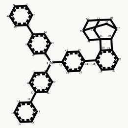 c1ccc(-c2ccc(N(c3ccc(-c4ccccc4)cc3)c3ccc(-c4cccc5c4C46CC7CC(CC(C7)C54)C6)cc3)cc2)cc1